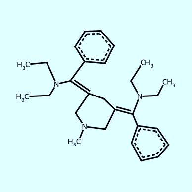 CCN(CC)C(=C1CC(=C(c2ccccc2)N(CC)CC)CN(C)C1)c1ccccc1